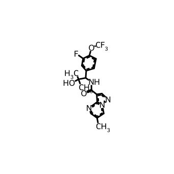 Cc1cnc2c(C(=O)NC(c3ccc(OC(F)(F)F)c(F)c3)C(C)(C)O)cnn2c1